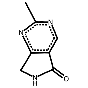 Cc1ncc2c(n1)CNC2=O